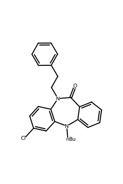 [CH2]CCCN1c2ccccc2C(=O)N(CCc2ccccc2)c2ccc(Cl)cc21